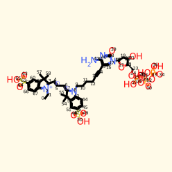 CC[N+]1=C(/C=C/C=C2/N(CCCCC#Cc3cn([C@H]4C[C@@H](O)[C@@H](COP(=O)(O)OP(=O)(O)OP(=O)(O)O)O4)c(=O)nc3N)c3ccc(S(=O)(=O)O)cc3C2(C)C)C(C)(C)c2cc(S(=O)(=O)O)ccc21